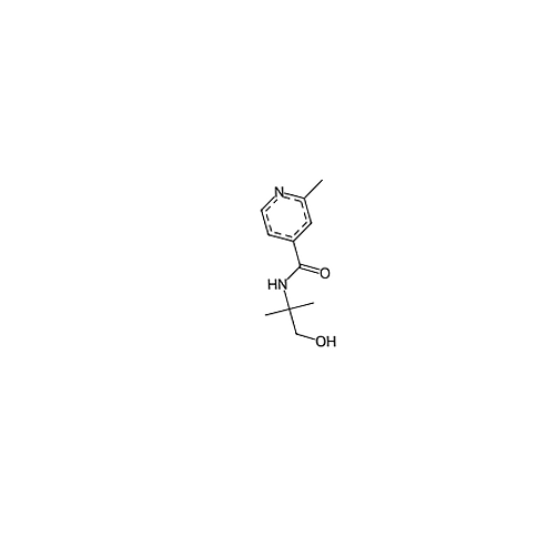 Cc1cc(C(=O)NC(C)(C)CO)ccn1